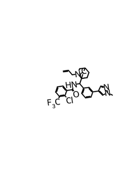 C=CCN1CC2CCC1(C(NC(=O)c1cccc(C(F)(F)F)c1Cl)c1cccc(-c3cnn(C)c3)c1)CC2